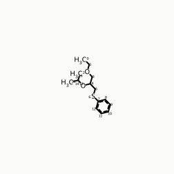 CCOCC(CSc1ccccc1)OC(C)C